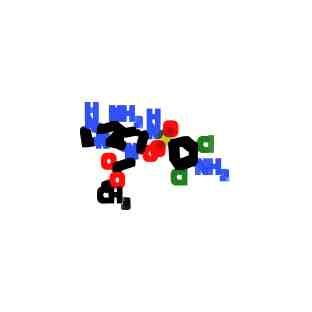 CCOC(=O)CN(C(=O)[C@H](CCC(N)c1ncc[nH]1)NS(=O)(=O)c1cc(Cl)c(N)c(Cl)c1)C1CC1